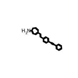 NC1=CC=C(C=Cc2ccc(C#Cc3ccccc3)cc2)C=CC1